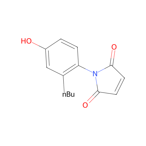 CCCCc1cc(O)ccc1N1C(=O)C=CC1=O